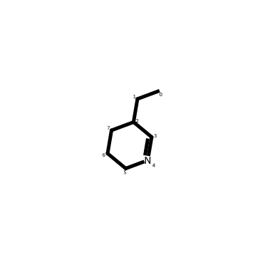 CCC1C=NCCC1